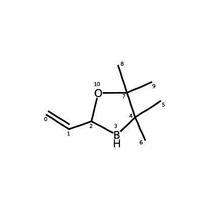 C=CC1BC(C)(C)C(C)(C)O1